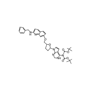 CC(C)(C)OC(=O)N(C(=O)OC(C)(C)C)C1=c2ccn(C3CCC(COc4ccc5ccc(NCc6ccccc6)nc5c4)O3)c2=NCN1